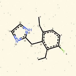 CCc1ccc(F)c(CC)c1Cc1ncc[nH]1